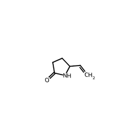 C=CC1CCC(=O)N1